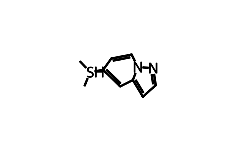 C[SH](C)c1ccn2nccc2c1